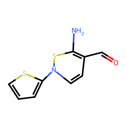 NC1=C(C=O)C=CN(c2cccs2)S1